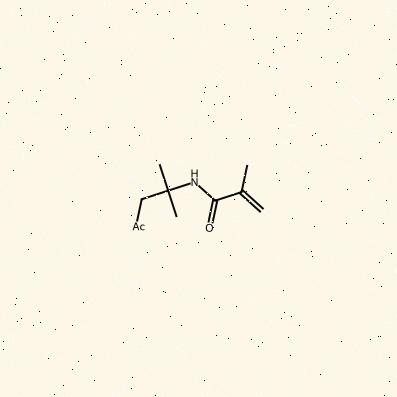 C=C(C)C(=O)NC(C)(C)CC(C)=O